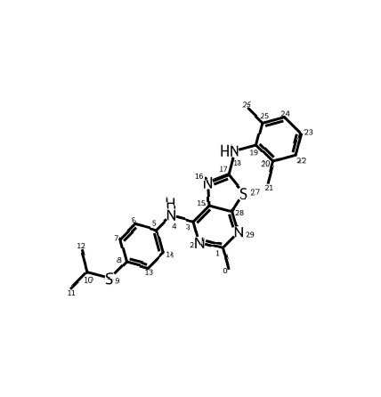 Cc1nc(Nc2ccc(SC(C)C)cc2)c2nc(Nc3c(C)cccc3C)sc2n1